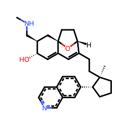 CNC[C@H]1C[C@@]23CC[C@@H](O2)C(CC[C@@]2(C)CCC[C@@H]2c2ccc4ccncc4c2)=CC3=C[C@@H]1O